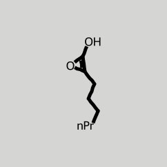 CCCCCCC1=C(O)O1